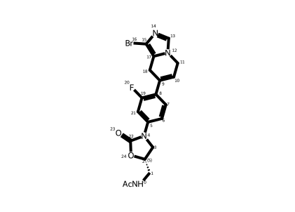 CC(=O)NC[C@H]1CN(c2ccc(C3=CCn4cnc(Br)c4C3)c(F)c2)C(=O)O1